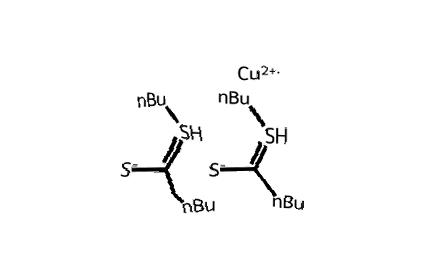 CCCC[SH]=C([S-])CCCC.CCCC[SH]=C([S-])CCCC.[Cu+2]